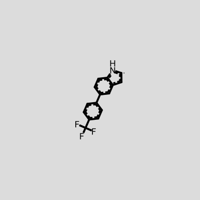 FC(F)(F)c1ccc(-c2ccc3[nH][c]cc3c2)cc1